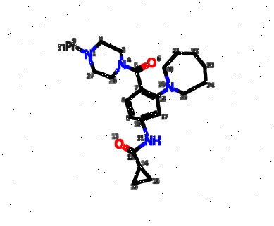 CCCN1CCN(C(=O)c2ccc(NC(=O)C3CC3)cc2N2CCCCCC2)CC1